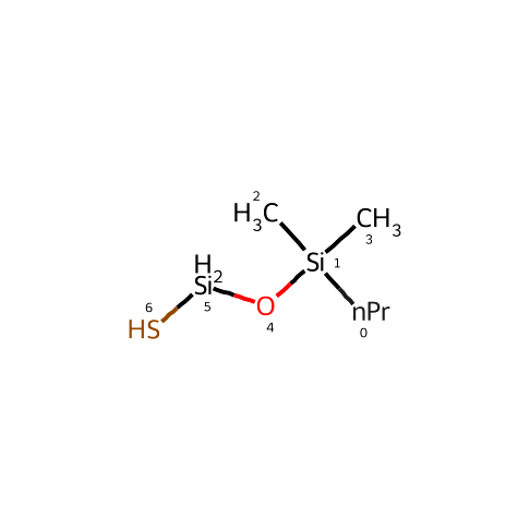 CCC[Si](C)(C)O[SiH2]S